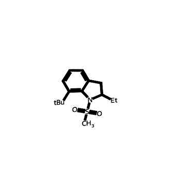 CCC1Cc2cccc(C(C)(C)C)c2N1S(C)(=O)=O